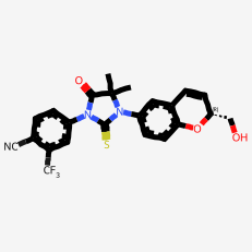 CC1(C)C(=O)N(c2ccc(C#N)c(C(F)(F)F)c2)C(=S)N1c1ccc2c(c1)C=C[C@H](CO)O2